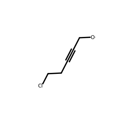 [O]CC#CCCCl